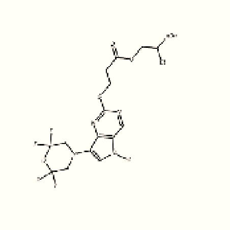 CCCCC(CC)COC(=O)CCSc1ncc2c(n1)c(N1CC(F)(F)OC(F)(F)C1)cn2CC